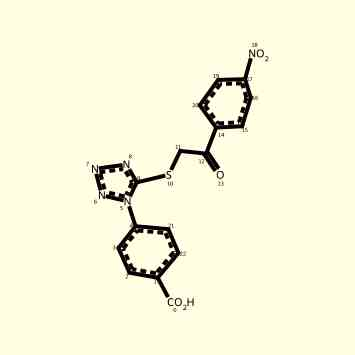 O=C(O)c1ccc(-n2nnnc2SCC(=O)c2ccc([N+](=O)[O-])cc2)cc1